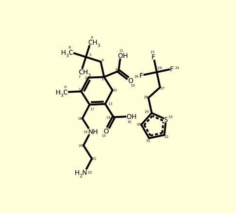 CC1=CC(CC(C)(C)C)(C(=O)O)CC(C(=O)O)=C1CNCCN.FC(F)(F)CCc1cccs1